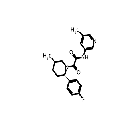 Cc1cncc(NC(=O)C(=O)N2C[C@H](C)CC[C@H]2c2ccc(F)cc2)c1